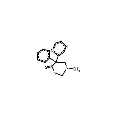 CN1CNC(=S)C(c2ccccc2)(c2cnccn2)C1